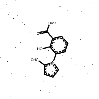 COC(=O)c1cccc(-n2cccc2C=O)c1O